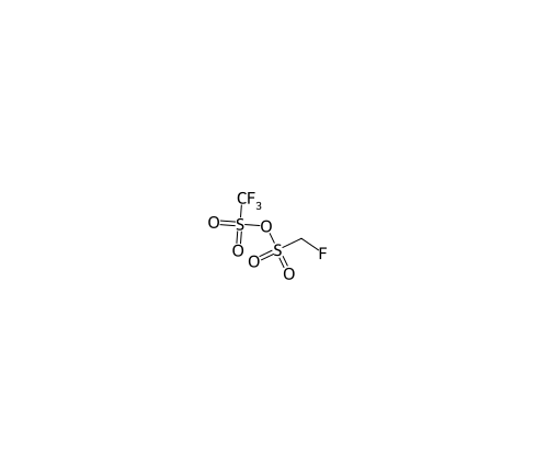 O=S(=O)(CF)OS(=O)(=O)C(F)(F)F